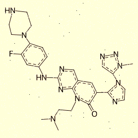 CN(C)CCn1c(=O)c(-c2nccn2-c2cnnn2C)cc2cnc(Nc3ccc(N4CCNCC4)c(F)c3)nc21